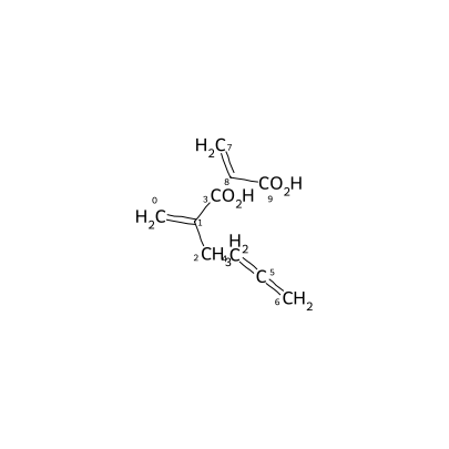 C=C(C)C(=O)O.C=C=C.C=CC(=O)O